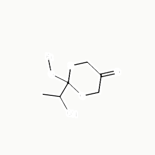 CCOC1(C(C)O)OCC(=O)CO1